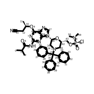 CC(C)C(=O)Nc1nc(O[C@H](C)CC#N)c2ncn([C@H]3CN(C(c4ccccc4)(c4ccccc4)c4ccccc4)C[C@@H](CO[P@](=O)(Cl)N(C)C)O3)c2n1